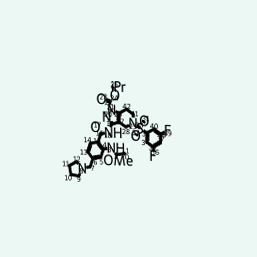 COCCNc1cc(CN2CCCC2)ccc1C(=O)Nc1nn(C(=O)OC(C)C)c2c1CN(S(=O)(=O)c1cc(F)cc(F)c1)CC2